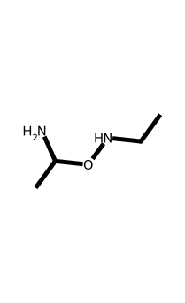 CCNOC(C)N